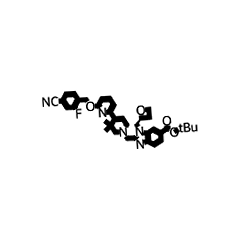 CC(C)(C)OC(=O)c1ccc2nc(CN3CC=C(c4cccc(OCc5ccc(C#N)cc5F)n4)C(C)(C)C3)n(C[C@@H]3CCO3)c2c1